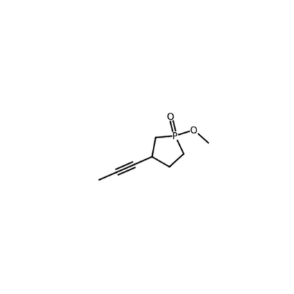 CC#CC1CCP(=O)(OC)C1